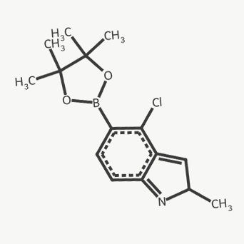 CC1C=c2c(Cl)c(B3OC(C)(C)C(C)(C)O3)ccc2=N1